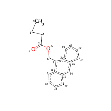 CCCC(=O)OCc1c2ccccc2cc2ccccc12